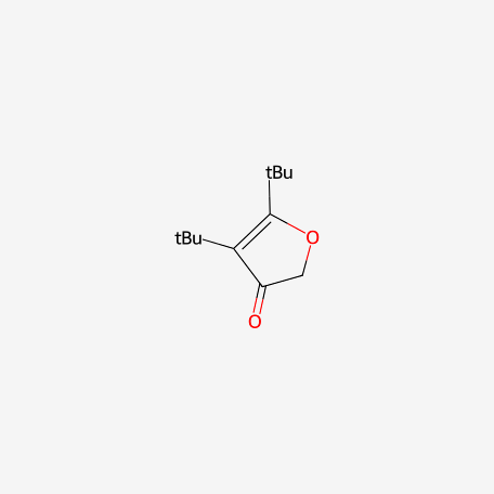 CC(C)(C)C1=C(C(C)(C)C)C(=O)CO1